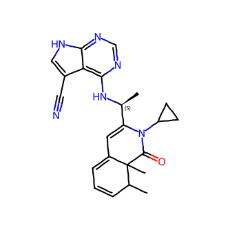 CC1C=CC=C2C=C([C@H](C)Nc3ncnc4[nH]cc(C#N)c34)N(C3CC3)C(=O)C21C